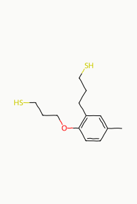 Cc1ccc(OCCCS)c(CCCS)c1